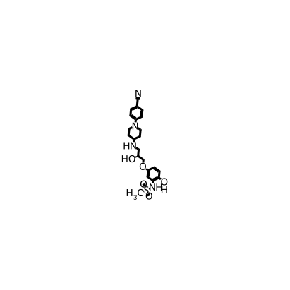 CS(=O)(=O)Nc1cc(OC[C@@H](O)CNC2CCN(c3ccc(C#N)cc3)CC2)ccc1O